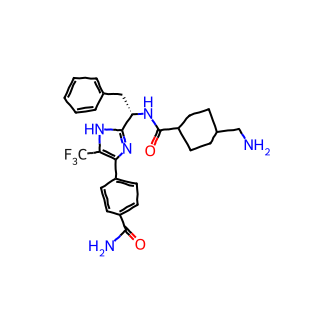 NCC1CCC(C(=O)N[C@@H](Cc2ccccc2)c2nc(-c3ccc(C(N)=O)cc3)c(C(F)(F)F)[nH]2)CC1